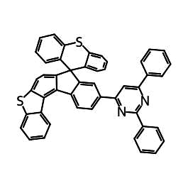 c1ccc(-c2cc(-c3ccc4c(c3)C3(c5ccccc5Sc5ccccc53)c3ccc5sc6ccccc6c5c3-4)nc(-c3ccccc3)n2)cc1